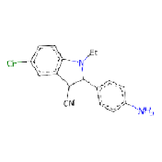 CCN1c2ccc(Cl)cc2C(C#N)C1c1ccc(N)cc1